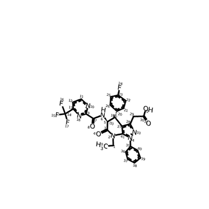 CCN1C(=O)[C@@H](NC(=O)c2nccc(C(F)(F)F)n2)[C@H](c2ccc(F)cc2)c2c(CC(=O)O)nn(-c3ccccc3)c21